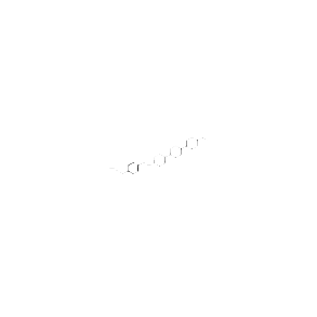 CCC1CCC(C2CCC(C3CCC(CCc4ccc(CCF)cc4)CC3)CC2)CC1